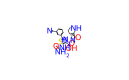 N#Cc1cccc(-c2nc(C(=O)O)c(NC(N)=O)s2)c1.NC(=O)[C@H]1CCCNC1